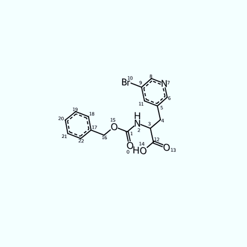 O=C(NC(Cc1cncc(Br)c1)C(=O)O)OCc1ccccc1